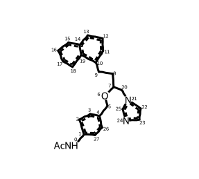 CC(=O)Nc1ccc(COC(CCc2cccc3ccccc23)Cn2ccnc2)cc1